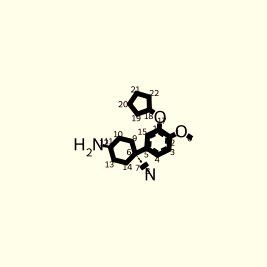 COc1ccc([C@]2(C#N)CC[C@H](N)CC2)cc1OC1CCCC1